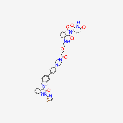 O=C1CCC(N2C(=O)c3cccc(NCCOCCC(=O)N4CCN(c5ccc(-c6ccc7c(c6)CN(C(C(=O)Nc6nccs6)c6ccccc6)C7)cc5)CC4)c3C2=O)C(=O)N1